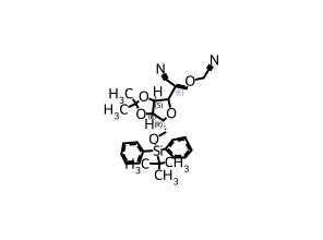 CC1(C)O[C@@H]2[C@@H](CO[Si](c3ccccc3)(c3ccccc3)C(C)(C)C)OC(/C(C#N)=C/OCC#N)[C@@H]2O1